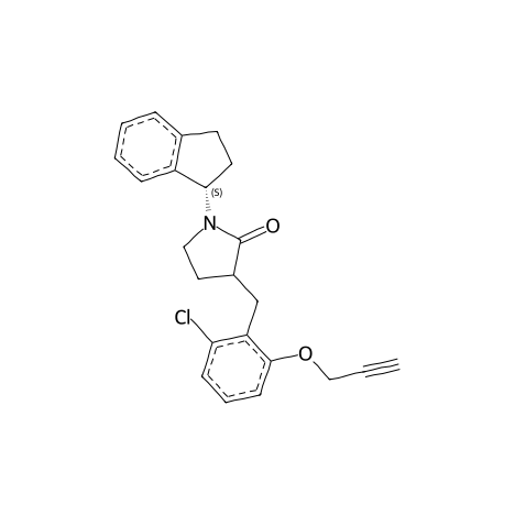 C#CCOc1cccc(Cl)c1CC1CCN([C@H]2CCc3ccccc32)C1=O